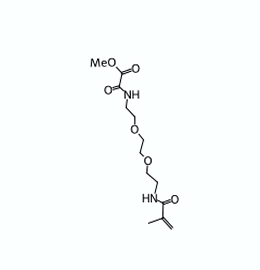 C=C(C)C(=O)NCCOCCOCCNC(=O)C(=O)OC